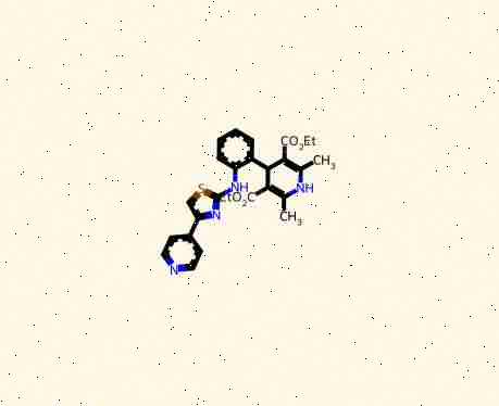 CCOC(=O)C1=C(C)NC(C)=C(C(=O)OCC)C1c1ccccc1Nc1nc(-c2ccncc2)cs1